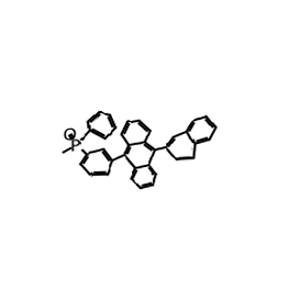 CP(=O)(c1ccccc1)c1cccc(-c2c3ccccc3c(-c3ccc4ccccc4c3)c3ccccc23)c1